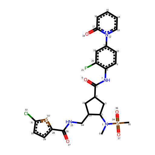 CN(C1CC(C(=O)Nc2ccc(-n3ccccc3=O)cc2F)CC1CNC(=O)c1ccc(Cl)s1)S(C)(=O)=O